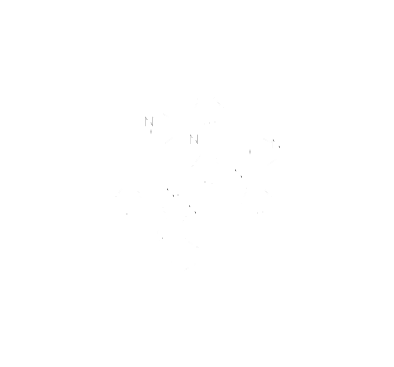 c1ccc(-c2nc(-c3cc(-n4c5ccccc5c5cnccc54)cc(-n4c5ccccc5c5cnccc54)c3)nc3c2sc2ccccc23)cc1